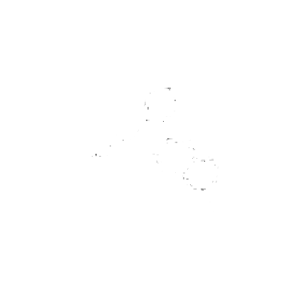 CO/C=C/c1ccccc1-c1ccc2cc(C)ccc2c1